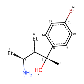 CCC([C@@H](N)CC)[C@@](C)(O)c1ccc(Br)cc1